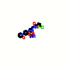 CNS(=O)(=O)c1nc(CNC(=O)c2ccc(Cl)s2)cn1-c1ccc(-n2ccccc2=O)cc1